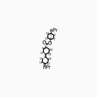 CCC[C@H]1CC[C@H](OC(=O)[C@H]2CC[C@H]([C@H]3CC[C@H](CCC)CC3)CC2)CC1